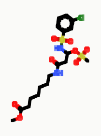 COC(=O)CCCCCCNC(=O)CC(NS(=O)(=O)c1cccc(Cl)c1)OS(C)(=O)=O